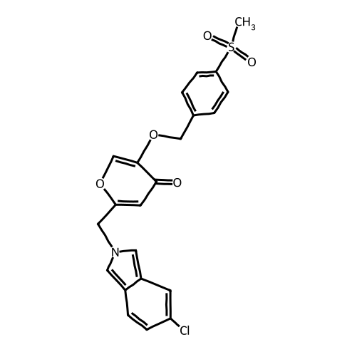 CS(=O)(=O)c1ccc(COc2coc(Cn3cc4ccc(Cl)cc4c3)cc2=O)cc1